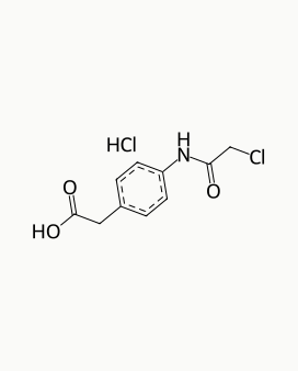 Cl.O=C(O)Cc1ccc(NC(=O)CCl)cc1